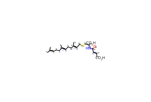 CC(C)=CCC/C(C)=C/CC/C(C)=C/CSCC(NC(=O)/C=C/C(=O)O)C(=O)O